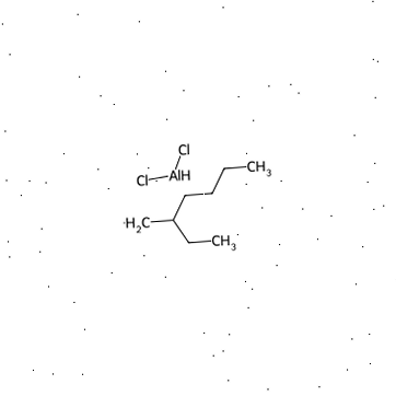 [CH2]C(CC)CCCC.[Cl][AlH][Cl]